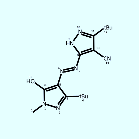 Cn1nc(C(C)(C)C)c(/N=N/c2[nH]nc(C(C)(C)C)c2C#N)c1O